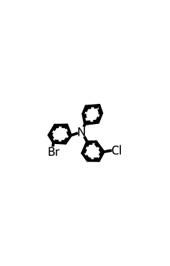 Clc1cccc(N(c2ccccc2)c2cccc(Br)c2)c1